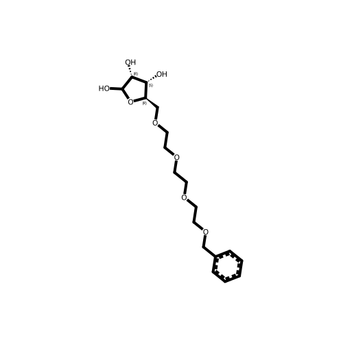 OC1O[C@H](COCCOCCOCCOCc2ccccc2)[C@@H](O)[C@H]1O